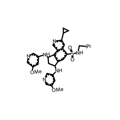 COc1cncc(NC2CC(Nc3cncc(OC)c3)c3c2cc(S(=O)(=O)NCC(C)C)c2cc(C4CC4)ncc32)c1